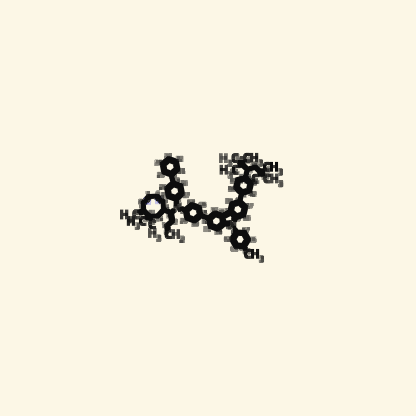 C=CC=C(C1/C=C\C=C/C(=C)C(C)(C)C1)N(c1ccc(-c2ccccc2)cc1)c1ccc(-c2ccc3c(c2)c2cc(-c4ccc(C(CC(C)(C)C)C(C)(C)C)cc4)ccc2n3-c2ccc(C)cc2)cc1